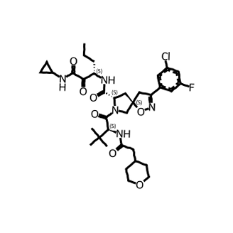 CCC[C@H](NC(=O)[C@@H]1C[C@]2(CC(c3cc(F)cc(Cl)c3)=NO2)CN1C(=O)[C@@H](NC(=O)CC1CCOCC1)C(C)(C)C)C(=O)C(=O)NC1CC1